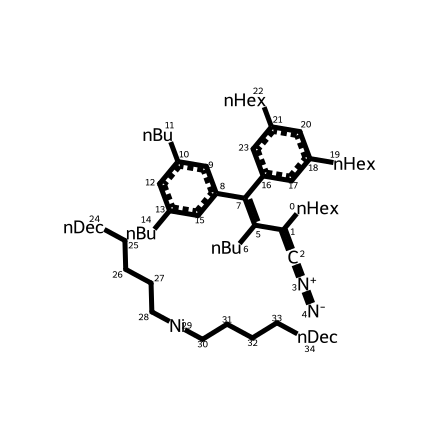 CCCCCCC(=C=[N+]=[N-])C(CCCC)=C(c1cc(CCCC)cc(CCCC)c1)c1cc(CCCCCC)cc(CCCCCC)c1.CCCCCCCCCCCCC[CH2][Ni][CH2]CCCCCCCCCCCCC